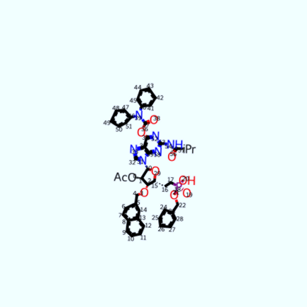 CC(=O)O[C@@H]1[C@H](OCc2ccc3ccccc3c2)[C@@H](CCP(=O)(O)OCc2ccccc2)O[C@H]1n1cnc2c(OC(=O)N(c3ccccc3)c3ccccc3)nc(NC(=O)C(C)C)nc21